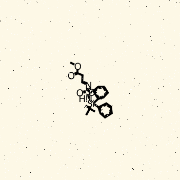 COC(=O)CC=NS(=O)(=O)N[Si](c1ccccc1)(c1ccccc1)C(C)(C)C